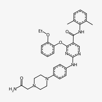 CCOc1ccccc1Oc1nc(Nc2ccc(N3CCN(CC(N)=O)CC3)cc2)ncc1C(=O)Nc1c(C)cccc1C